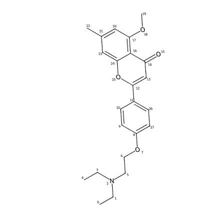 CCN(CC)CCOc1ccc(-c2cc(=O)c3c(OC)cc(C)cc3o2)cc1